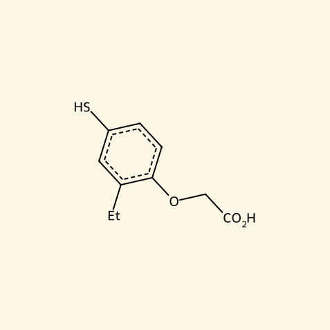 CCc1cc(S)ccc1OCC(=O)O